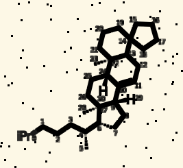 CC(C)CCC[C@@H](C)[C@H]1CC[C@H]2C3=CCC4C5(CCCC5)CCC[C@]4(C)[C@H]3CC[C@]12C